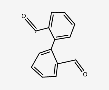 O=[C]c1ccccc1-c1ccccc1[C]=O